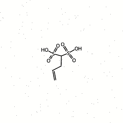 C=CCC(S(=O)(=O)O)S(=O)(=O)O